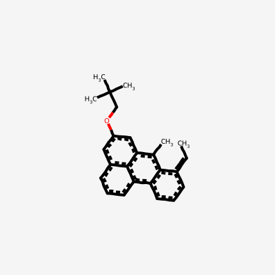 C/C=c1/cccc2c1c(C)c1cc(OCC(C)(C)C)cc3cccc2c31